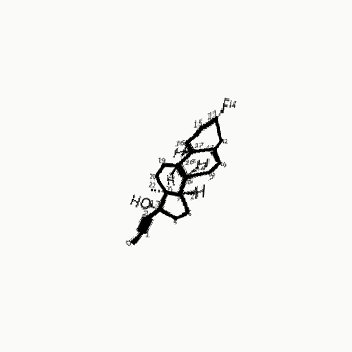 CC#C[C@]1(O)CC[C@H]2[C@@H]3CC=C4C[C@@H](F)CC[C@@H]4[C@H]3CC[C@@]21C